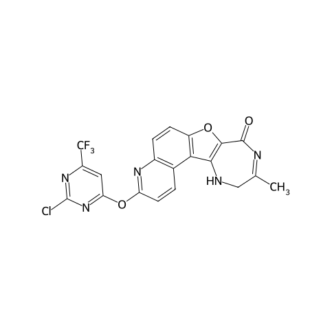 CC1=NC(=O)c2oc3ccc4nc(Oc5cc(C(F)(F)F)nc(Cl)n5)ccc4c3c2NC1